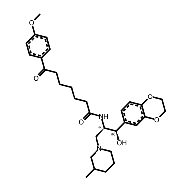 COc1ccc(C(=O)CCCCCC(=O)N[C@H](CN2CCCC(C)C2)[C@H](O)c2ccc3c(c2)OCCO3)cc1